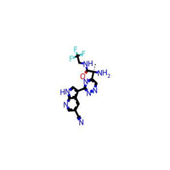 C[C@@](N)(C(=O)NCC(F)(F)F)c1cnnc(-c2c[nH]c3ncc(C#N)cc23)n1